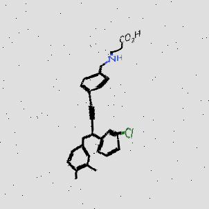 Cc1ccc(CC(C#Cc2ccc(CNCCC(=O)O)cc2)c2cccc(Cl)c2)cc1C